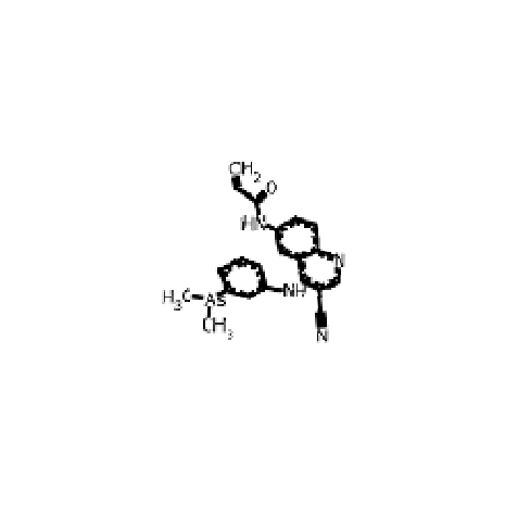 C=CC(=O)Nc1ccc2ncc(C#N)c(Nc3cccc([As](C)C)c3)c2c1